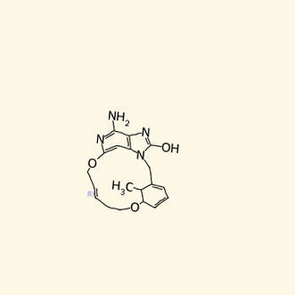 CC1C2=CC=CC1OCC/C=C/COc1cc3c(nc(O)n3C2)c(N)n1